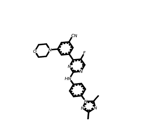 Cc1nc(C)n(-c2ccc(Nc3ncc(F)c(-c4cc(C#N)cc(N5CCOCC5)c4)n3)cc2)n1